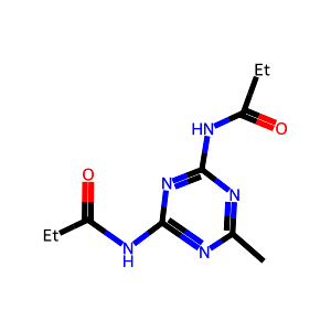 CCC(=O)Nc1nc(C)nc(NC(=O)CC)n1